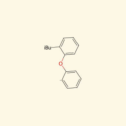 CCC(C)c1ccccc1Oc1[c]cccc1